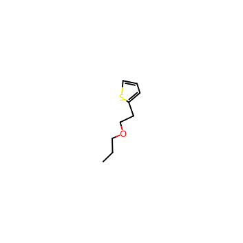 CCCOCCc1cccs1